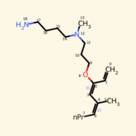 C=C/C(=C\C(C)=C/CCC)OCCCN(C)CCCCN